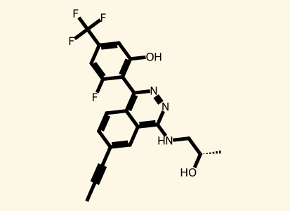 CC#Cc1ccc2c(-c3c(O)cc(C(F)(F)F)cc3F)nnc(NC[C@H](C)O)c2c1